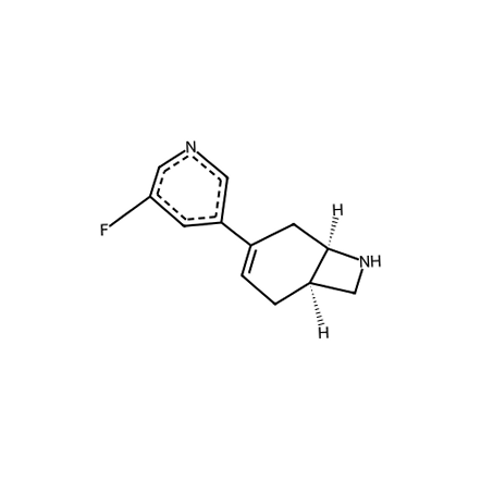 Fc1cncc(C2=CC[C@@H]3CN[C@@H]3C2)c1